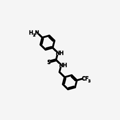 Nc1ccc(NC(=S)NCc2cccc(C(F)(F)F)c2)cc1